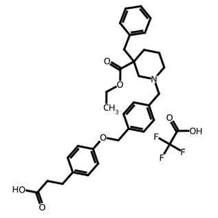 CCOC(=O)C1(Cc2ccccc2)CCCN(Cc2ccc(COc3ccc(CCC(=O)O)cc3)cc2)C1.O=C(O)C(F)(F)F